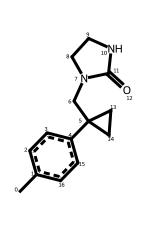 Cc1ccc(C2(CN3CCNC3=O)CC2)cc1